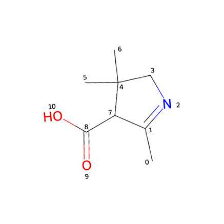 CC1=NCC(C)(C)C1C(=O)O